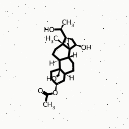 CC(=O)O[C@H]1CC[C@@]2(CO)[C@@H](CC[C@H]3[C@H]4[C@H](O)C[C@H]([C@H](C)O)[C@@]4(C)CC[C@@H]32)C1